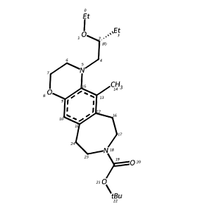 CCO[C@H](CC)CN1CCOc2cc3c(c(C)c21)CCN(C(=O)OC(C)(C)C)CC3